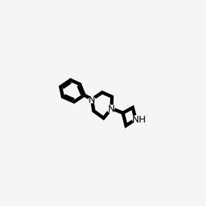 c1ccc(N2CCN(C3CNC3)CC2)cc1